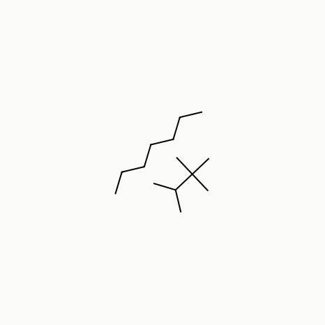 CC(C)C(C)(C)C.CCCCCCC